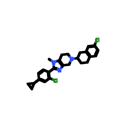 Cn1c(-c2ccc(C3CC3)cc2Cl)nc2c1CCN(C1CCc3ccc(Cl)cc3C1)C2